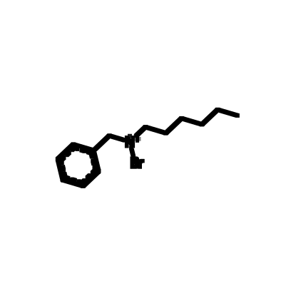 CCCCCC[N+](Br)Cc1ccccc1